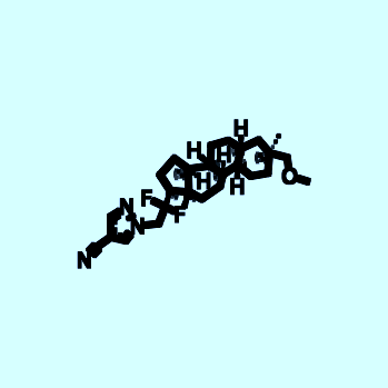 COC[C@@]1(C)CC[C@H]2[C@H](CC[C@@H]3[C@@H]2CC[C@]2(C)[C@@H](C(F)(F)Cn4cc(C#N)cn4)CC[C@@H]32)C1